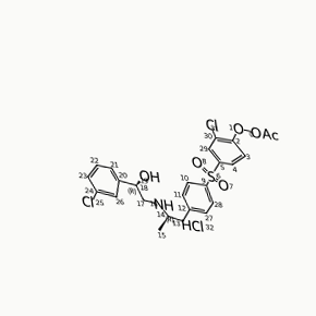 CC(=O)OOc1ccc(S(=O)(=O)c2ccc(C[C@@H](C)NC[C@H](O)c3cccc(Cl)c3)cc2)cc1Cl.Cl